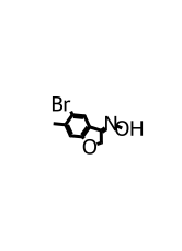 Cc1cc2c(cc1Br)C(=NO)CO2